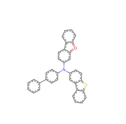 c1ccc(-c2ccc(N(c3ccc4c(c3)oc3ccccc34)c3ccc4sc5ccccc5c4c3)cc2)cc1